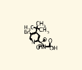 CC(C)(C)c1cc(S(=O)(=O)NC(=O)O)ncc1Br